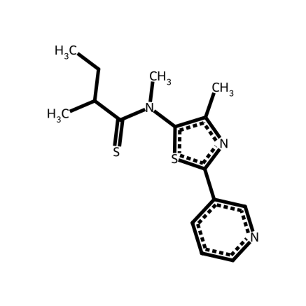 CCC(C)C(=S)N(C)c1sc(-c2cccnc2)nc1C